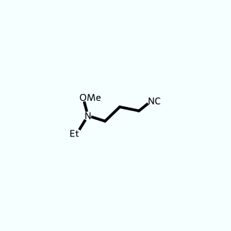 [C-]#[N+]CCCN(CC)OC